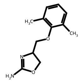 Cc1cccc(C)c1OCC1COC(N)=N1